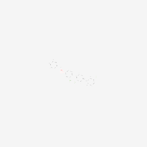 Fc1cccc(-c2ccc(-c3ccc(OCc4ccccc4)cc3F)c(F)c2)c1